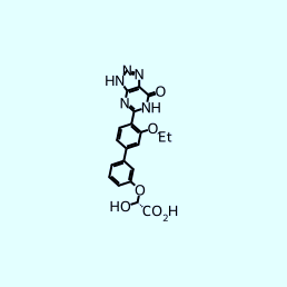 CCOc1cc(-c2cccc(O[C@@H](O)C(=O)O)c2)ccc1-c1nc2[nH]nnc2c(=O)[nH]1